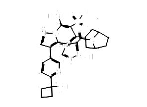 CS(=O)(=O)c1c([C@H]2C[C@H]3CC[C@@H](C2)N3C(=O)c2nnc[nH]2)nc2c(-c3ccc(C4(O)CCC4)nc3)cnn2c1N